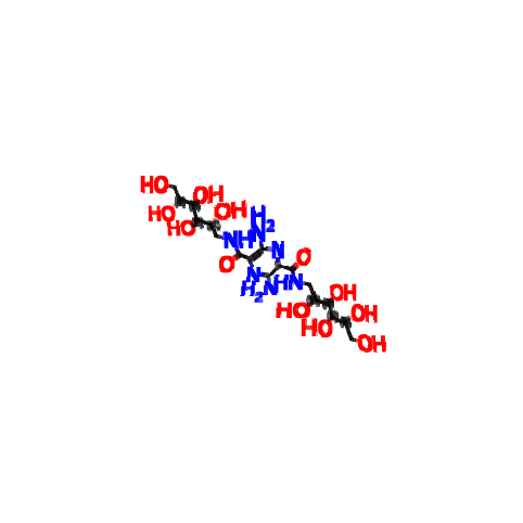 Nc1nc(C(=O)NC[C@@H](O)[C@@H](O)[C@H](O)[C@H](O)CO)c(N)nc1C(=O)NC[C@@H](O)[C@@H](O)[C@H](O)[C@H](O)CO